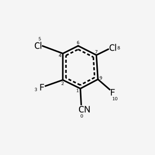 N#Cc1c(F)c(Cl)cc(Cl)c1F